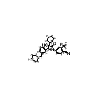 N#Cc1ccc(NC(=O)C(O)(Cc2cccc(CN3CCNCC3)c2)C2CCCCC2)cc1C(F)(F)F